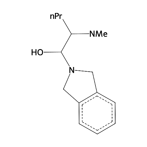 CCCC(NC)C(O)N1Cc2ccccc2C1